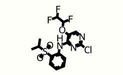 CC(C)S(=O)(=O)c1ccccc1Nc1nc(Cl)ncc1OC(F)C(F)F